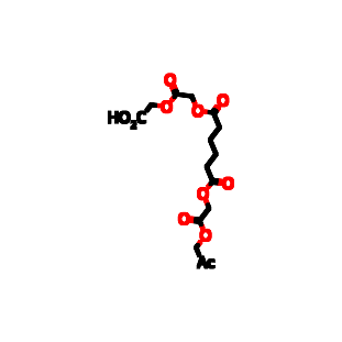 CC(=O)COC(=O)COC(=O)CCCCC(=O)OCC(=O)OCC(=O)O